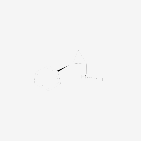 CC(C)N[C@]1(C)C[C@@H]1c1ccccc1